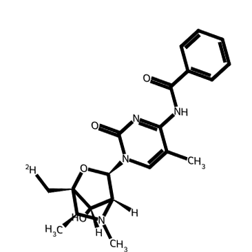 [2H]C[C@@]12O[C@@H](n3cc(C)c(NC(=O)c4ccccc4)nc3=O)[C@@H]([C@@H]1O)N(C)[C@H]2C